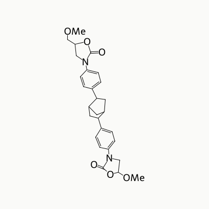 COCC1CN(c2ccc(C3CC4CC3CC4c3ccc(N4CC(OC)OC4=O)cc3)cc2)C(=O)O1